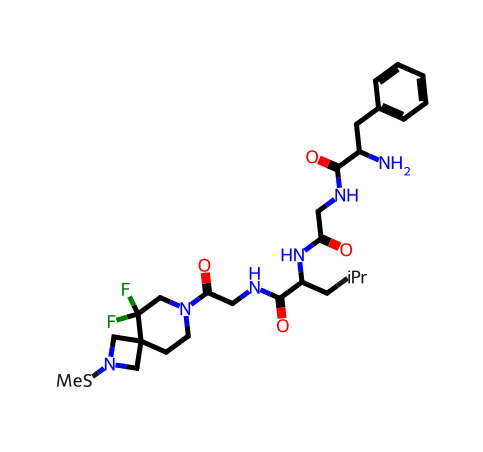 CSN1CC2(CCN(C(=O)CNC(=O)C(CC(C)C)NC(=O)CNC(=O)C(N)Cc3ccccc3)CC2(F)F)C1